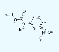 CCOC(=O)C(Br)c1cccc([N+](=O)[O-])c1